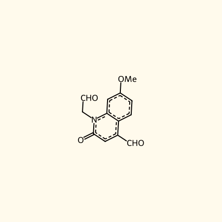 COc1ccc2c(C=O)cc(=O)n(CC=O)c2c1